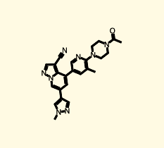 CC(=O)N1CCN(c2ncc(-c3cc(-c4cnn(C)c4)cn4ncc(C#N)c34)cc2C)CC1